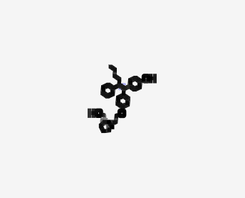 CCCC/C(=C(\c1ccc(O)cc1)c1ccc(OCCN2CCC[C@@H]2CO)cc1)c1ccccc1